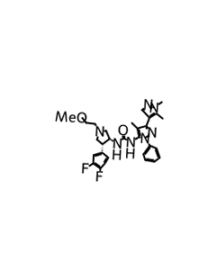 COCCN1C[C@@H](NC(=O)Nc2c(C)c(-c3cnn(C)c3C)nn2-c2ccccc2)[C@H](c2ccc(F)c(F)c2)C1